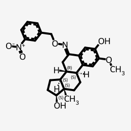 COc1cc2c(cc1O)C(=NOCc1cccc([N+](=O)[O-])c1)C[C@@H]1[C@@H]2CC[C@]2(C)[C@@H](O)CC[C@@H]12